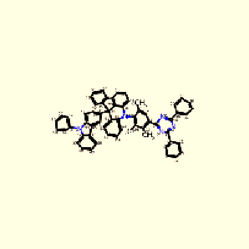 Cc1cc(-c2nc(-c3ccccc3)nc(-c3ccccc3)n2)c(C)c(C)c1N1c2ccccc2C(c2ccccc2)(c2ccc3c(c2)c2ccccc2n3-c2ccccc2)c2ccccc21